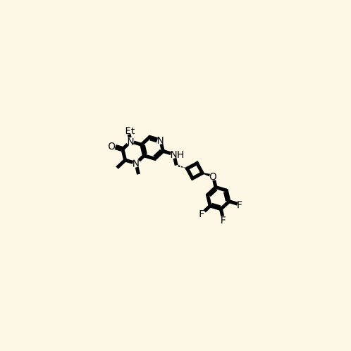 CCN1C(=O)C(C)N(C)c2cc(NC[C@H]3C[C@H](Oc4cc(F)c(F)c(F)c4)C3)ncc21